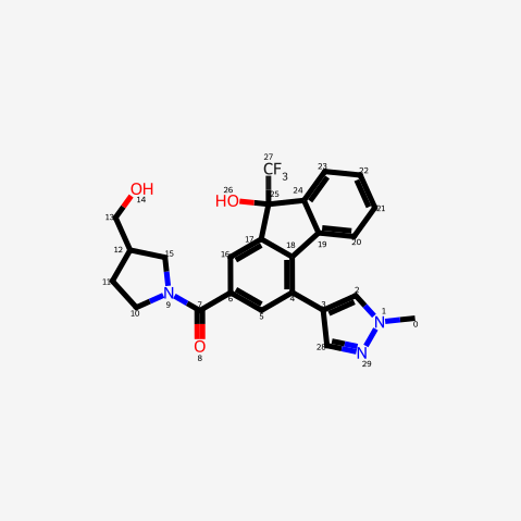 Cn1cc(-c2cc(C(=O)N3CCC(CO)C3)cc3c2-c2ccccc2C3(O)C(F)(F)F)cn1